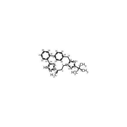 C=CCCn1nc(C(C)(C)C)nc1Cc1ccc(-c2ccccc2-c2nnn[nH]2)cc1